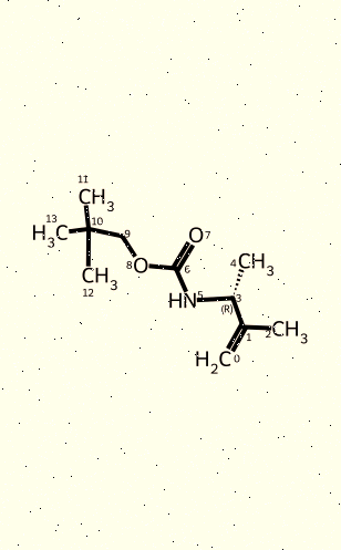 C=C(C)[C@@H](C)NC(=O)OCC(C)(C)C